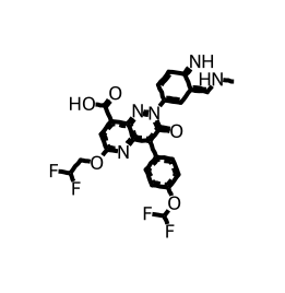 CN/C=C1/C=C(n2nc3c(C(=O)O)cc(OCC(F)F)nc3c(-c3ccc(OC(F)F)cc3)c2=O)C=CC1=N